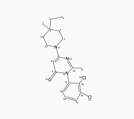 CCC1(C)CCN(c2cc(=O)n(-c3cccc(Cl)c3Cl)c(C)n2)CC1